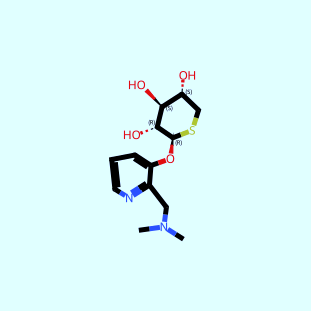 CN(C)Cc1ncccc1O[C@@H]1SC[C@@H](O)[C@H](O)[C@H]1O